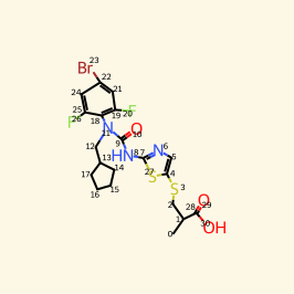 CC(CSc1cnc(NC(=O)N(CC2CCCC2)c2c(F)cc(Br)cc2F)s1)C(=O)O